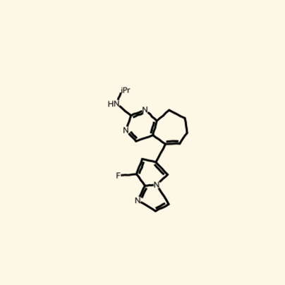 CC(C)Nc1ncc2c(n1)CCCC=C2c1cc(F)c2nccn2c1